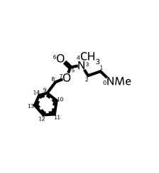 CNCCN(C)C(=O)OCc1ccccc1